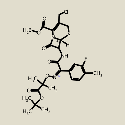 BOC(=O)C1=C(CCl)CS[C@@H]2C(NC(=O)/C(=N\OC(C)(C)C(=O)OC(C)(C)C)c3ccc(C)c(F)c3)C(=O)N12